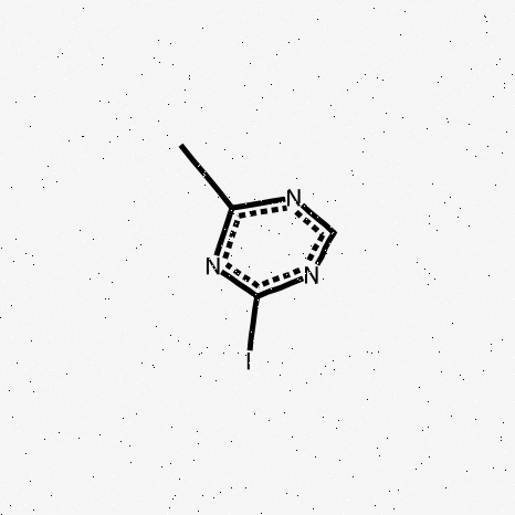 Cc1ncnc(I)n1